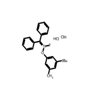 Cc1cc([O][Ti]([F])=[C](c2ccccc2)c2ccccc2)cc(C(C)(C)C)c1.Cl.Cl